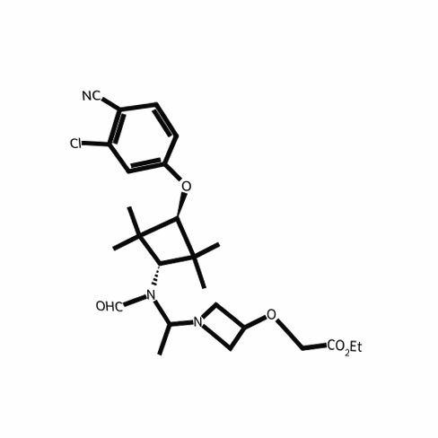 CCOC(=O)COC1CN(C(C)N(C=O)[C@H]2C(C)(C)[C@H](Oc3ccc(C#N)c(Cl)c3)C2(C)C)C1